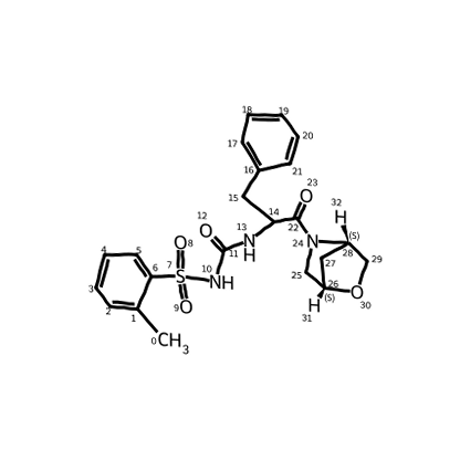 Cc1ccccc1S(=O)(=O)NC(=O)NC(Cc1ccccc1)C(=O)N1C[C@@H]2C[C@H]1CO2